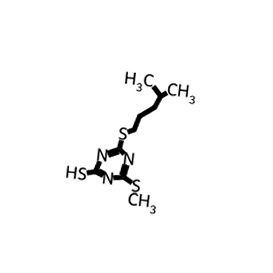 CSc1nc(S)nc(SCCCC(C)C)n1